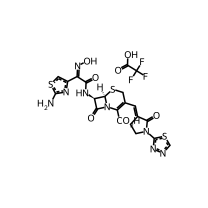 Nc1nc(/C(=N/O)C(=O)N[C@@H]2C(=O)N3C(C(=O)O)=C(C=C4CCN(c5nncs5)C4=O)CS[C@H]23)cs1.O=C(O)C(F)(F)F